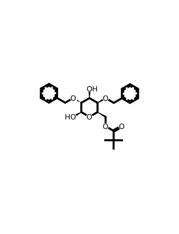 CC(C)(C)C(=O)OC[C@H]1O[C@@H](O)[C@H](OCc2ccccc2)[C@@H](O)[C@H]1OCc1ccccc1